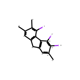 Cc1cc2c(c(I)c1C)-c1c(cc(C)c(I)c1I)C2